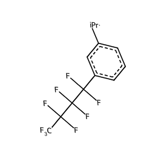 C[C](C)c1cccc(C(F)(F)C(F)(F)C(F)(F)C(F)(F)F)c1